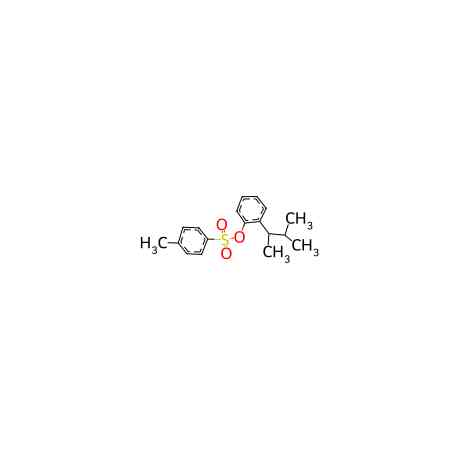 Cc1ccc(S(=O)(=O)Oc2ccccc2C(C)C(C)C)cc1